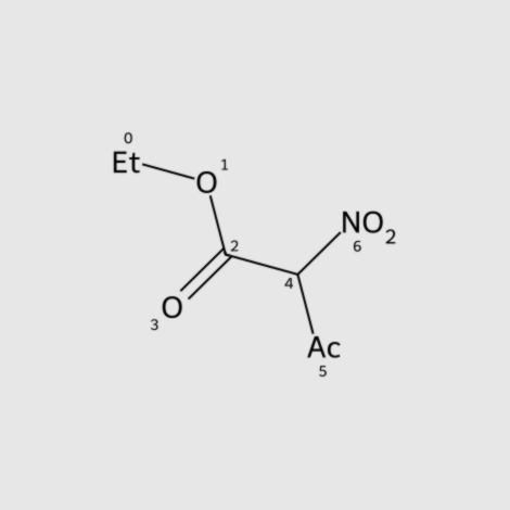 CCOC(=O)C(C(C)=O)[N+](=O)[O-]